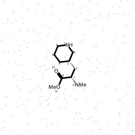 CN[C@@H](C[C@@H]1CCCNC1)C(=O)OC